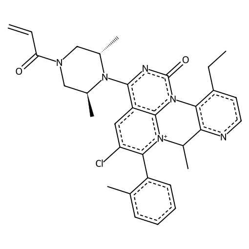 C=CC(=O)N1C[C@H](C)N(c2nc(=O)n3c4c2cc(Cl)c(-c2ccccc2C)[n+]4C(C)c2nccc(CC)c2-3)[C@@H](C)C1